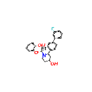 CCC(Oc1ccccc1O)N1CCC(O)CC1c1ccc(-c2cccc(F)c2)cc1